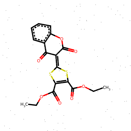 CCOC(=O)C1=C(C(=O)OCC)SC(=C2C(=O)Oc3ccccc3C2=O)S1